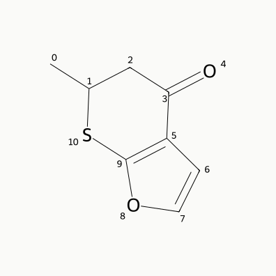 CC1CC(=O)c2ccoc2S1